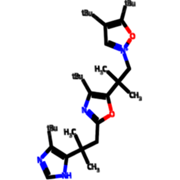 CC(C)(C)c1c[n+](CC(C)(C)c2oc(CC(C)(C)c3[nH]cnc3C(C)(C)C)nc2C(C)(C)C)oc1C(C)(C)C